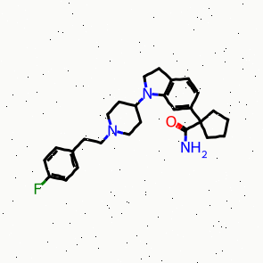 NC(=O)C1(c2ccc3c(c2)N(C2CCN(CCc4ccc(F)cc4)CC2)CC3)CCCC1